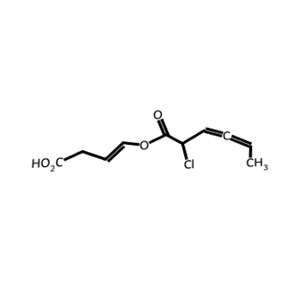 CC=C=CC(Cl)C(=O)OC=CCC(=O)O